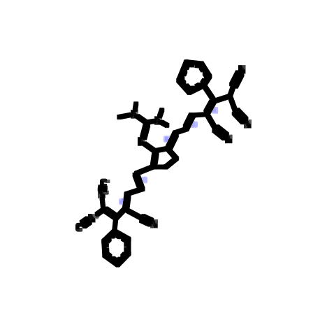 [C-]#[N+]C([N+]#[C-])=C(/C(C#N)=C/C=C/C1=C(N=C(N(C)C)N(C)C)C(=C/C=C/C(C#N)=C(\c2ccccc2)C(C#N)C#N)/CC1)c1ccccc1